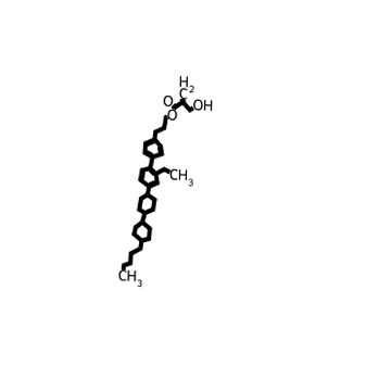 C=C(CO)C(=O)OCCCc1ccc(-c2ccc(C3CCC(C4CCC(CCCCC)CC4)CC3)cc2CC)cc1